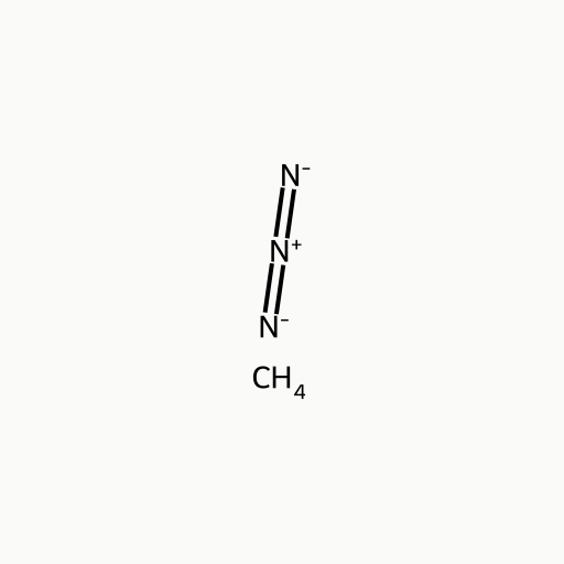 C.[N-]=[N+]=[N-]